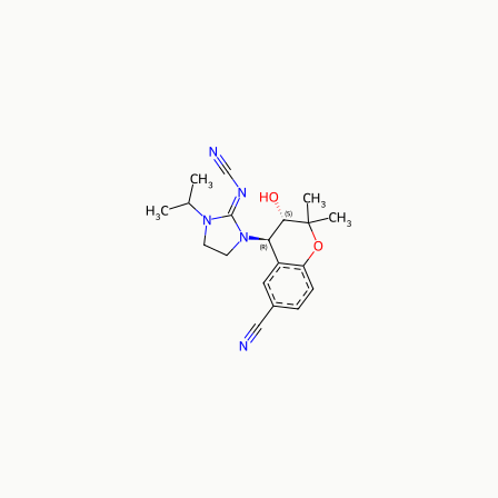 CC(C)N1CCN([C@@H]2c3cc(C#N)ccc3OC(C)(C)[C@H]2O)C1=NC#N